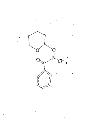 CN(OC1CCCCO1)C(=O)c1ccccc1